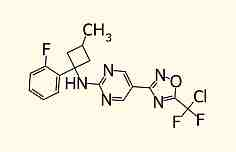 CC1CC(Nc2ncc(-c3noc(C(F)(F)Cl)n3)cn2)(c2ccccc2F)C1